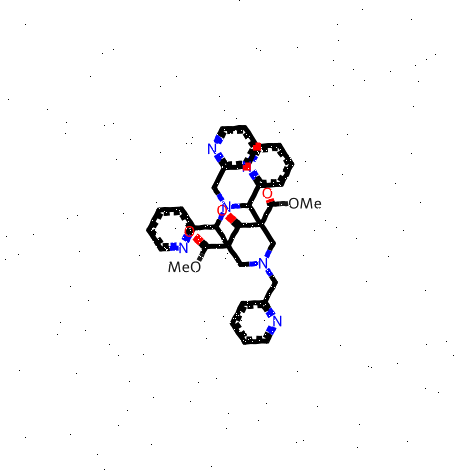 COC(=O)C12CN(Cc3ccccn3)CC(C(=O)OC)(C1=O)C(c1ccccn1)N(Cc1ccccn1)C2c1ccccn1